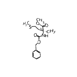 COC(=O)[C@](C)(CCSC)NC(=O)OCc1ccccc1